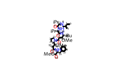 C=CC(=C)CN(C)[C@H](C(=O)N[C@H](C(=O)N(C)[C@@H]([C@@H](C)CC)[C@@H](CC(=O)N1CCC[C@H]1[C@H](OC)[C@@H](C)C(=O)N[C@@H](Cc1ccccc1)C(=O)OC)OC)C(C)C)C(C)C